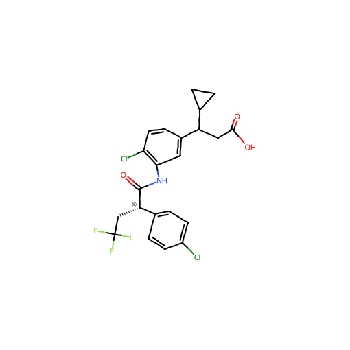 O=C(O)CC(c1ccc(Cl)c(NC(=O)[C@@H](CC(F)(F)F)c2ccc(Cl)cc2)c1)C1CC1